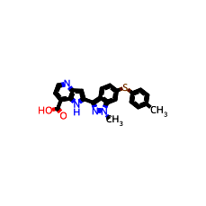 Cc1ccc(Sc2ccc3c(-c4cc5nccc(C(=O)O)c5[nH]4)nn(C)c3c2)cc1